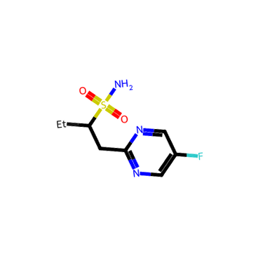 CCC(Cc1ncc(F)cn1)S(N)(=O)=O